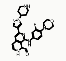 O=CC1NC=Cc2cc(-c3cnn(C4CCNCC4)c3)nc(Nc3ccc(N4CCOCC4)c(F)c3)c21